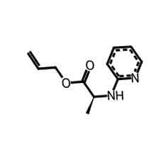 C=CCOC(=O)[C@H](C)Nc1ccccn1